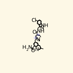 C=N/C(=C\C(=C/C)C(=O)NCc1n[nH]c2ccc(Cl)cc12)Cc1cc(C(N)=O)c2ncc(C)cc2c1